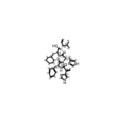 C=C[C@@H](C[C@H](O)[C@H](CC1CCCCC1)NC(=O)[C@H](Cc1c[nH]cn1)NC(=O)[C@H](Cc1ccccc1)NC(=O)C(=C)c1c[nH]cn1)C(C)C